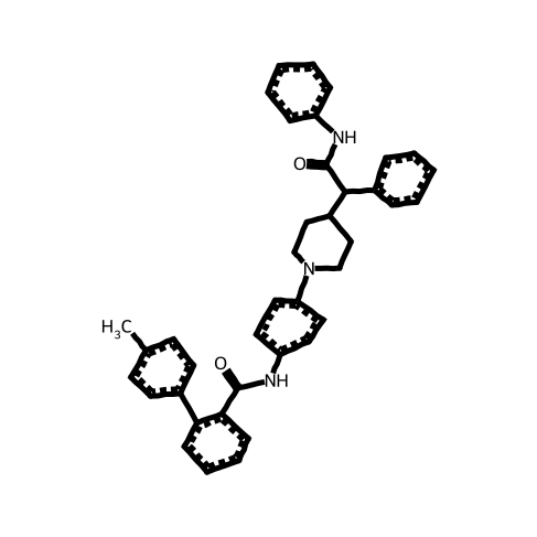 Cc1ccc(-c2ccccc2C(=O)Nc2ccc(N3CCC(C(C(=O)Nc4ccccc4)c4ccccc4)CC3)cc2)cc1